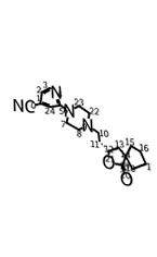 N#Cc1ccnc(N2CCN(CC[C@@H]3CC4(CCCC4)C(=O)O3)CC2)c1